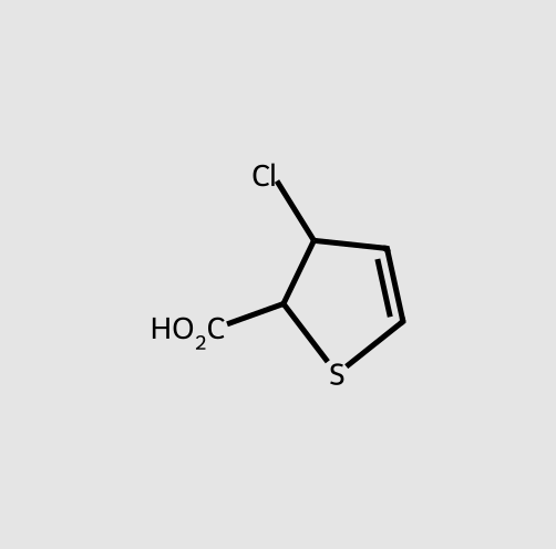 O=C(O)C1SC=CC1Cl